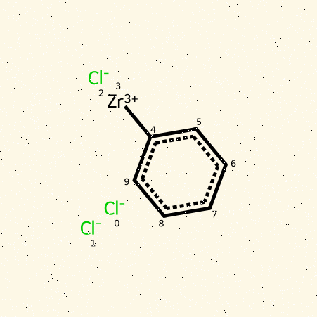 [Cl-].[Cl-].[Cl-].[Zr+3][c]1ccccc1